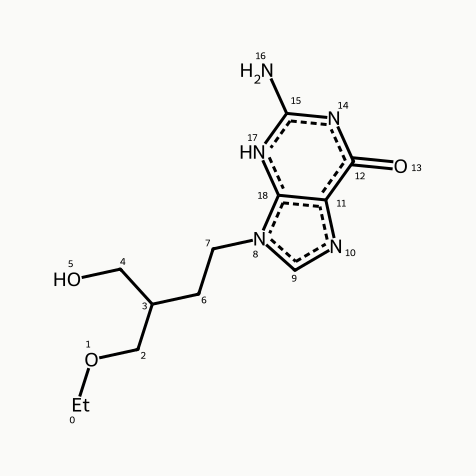 CCOCC(CO)CCn1cnc2c(=O)nc(N)[nH]c21